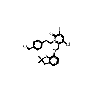 CC1(C)Cc2cccc(OCc3c(Cl)cc(I)c(=O)n3CCc3ccc(C=O)cc3)c2O1